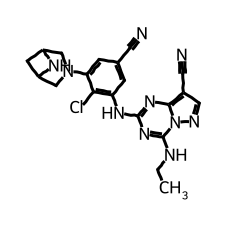 CCNc1nc(Nc2cc(C#N)cc(N3CC4CC(C3)N4)c2Cl)nc2c(C#N)cnn12